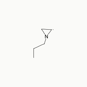 CCCN1[CH]C1